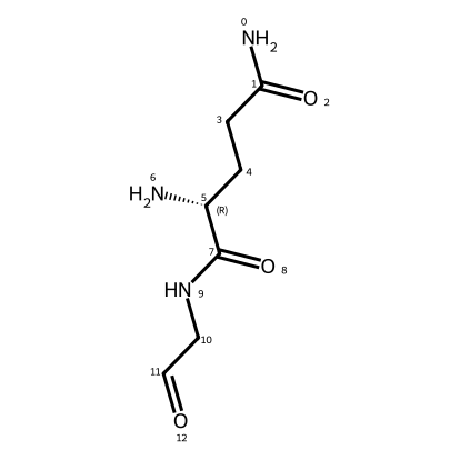 NC(=O)CC[C@@H](N)C(=O)NCC=O